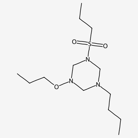 CCCCN1CN(OCCC)CN(S(=O)(=O)CCC)C1